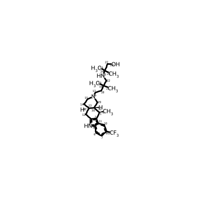 C[C@H]1c2c([nH]c3ccc(C(F)(F)F)cc23)C[C@H]2CCN(CCC(C)(C)CNC(C)(C)CO)C[C@@H]21